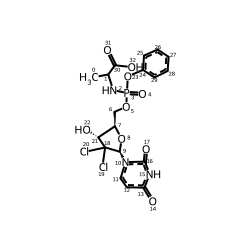 CC(NP(=O)(OC[C@H]1O[C@@H](n2ccc(=O)[nH]c2=O)C(Cl)(Cl)[C@@H]1O)Oc1ccccc1)C(=O)O